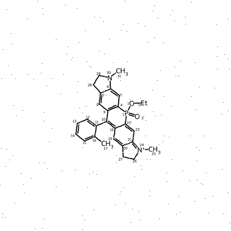 CCOP1(=O)c2cc3c(cc2C(c2ccccc2C)=c2cc4c(cc21)=[N+](C)CC4)CCN3C